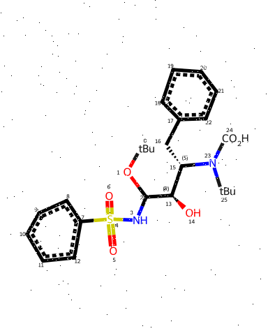 CC(C)(C)OC(NS(=O)(=O)c1ccccc1)[C@H](O)[C@H](Cc1ccccc1)N(C(=O)O)C(C)(C)C